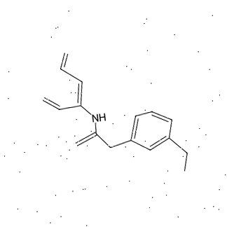 C=C/C=C(\C=C)NC(=C)Cc1cccc(CC)c1